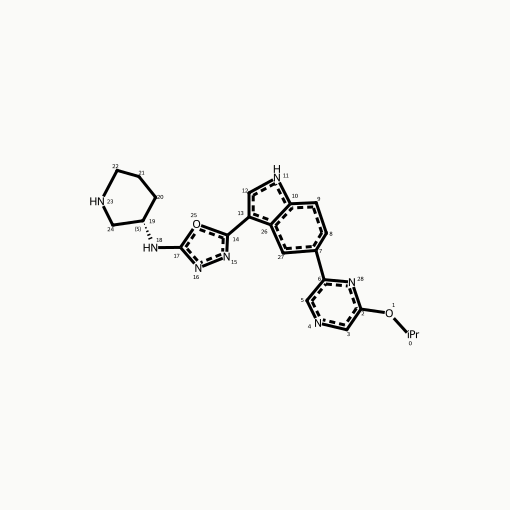 CC(C)Oc1cncc(-c2ccc3[nH]cc(-c4nnc(N[C@H]5CCCNC5)o4)c3c2)n1